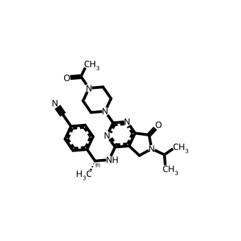 CC(=O)N1CCN(c2nc(N[C@H](C)c3ccc(C#N)cc3)c3c(n2)C(=O)N(C(C)C)C3)CC1